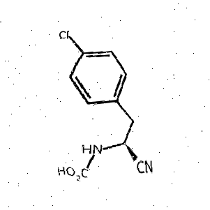 N#C[C@H](Cc1ccc(Cl)cc1)NC(=O)O